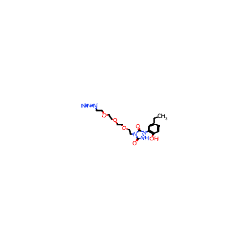 CCc1ccc(O)c(-n2[nH]c(=O)n(CCOCCOCCOCCN=[N+]=[N-])c2=O)c1